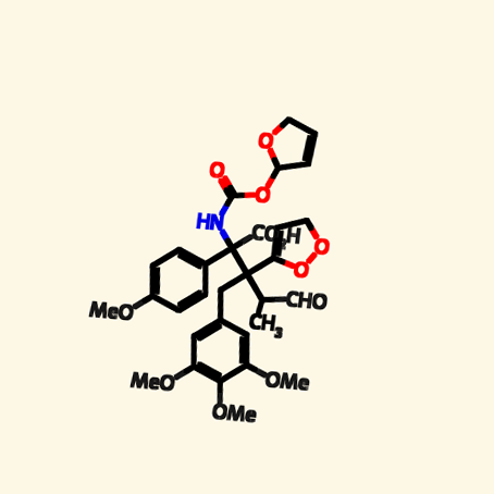 COc1ccc(C(NC(=O)OC2C=CCO2)(C(=O)O)C(Cc2cc(OC)c(OC)c(OC)c2)(C2=CCOO2)C(C)C=O)cc1